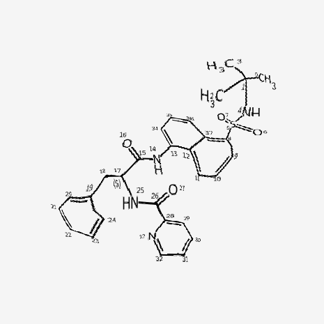 CC(C)(C)NS(=O)(=O)c1cccc2c(NC(=O)[C@H](Cc3ccccc3)NC(=O)c3ccccn3)cccc12